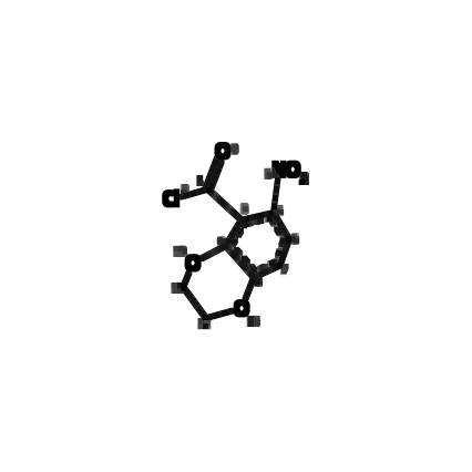 O=C(Cl)c1c([N+](=O)[O-])ccc2c1OCCO2